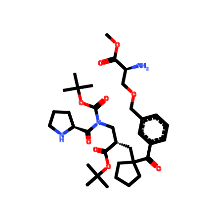 COC(=O)[C@@H](N)COCc1cccc(C(=O)C2(C[C@@H](CN(C(=O)OC(C)(C)C)C(=O)[C@@H]3CCCN3)C(=O)OC(C)(C)C)CCCC2)c1